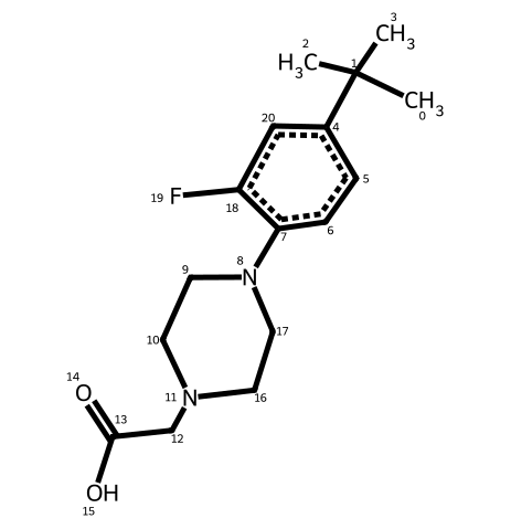 CC(C)(C)c1ccc(N2CCN(CC(=O)O)CC2)c(F)c1